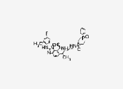 Cc1cc(F)ccc1Nc1nc2ccc3c(C)c(/C=C/CNC(=O)N4CCP(=O)(c5ccccc5)CC4)[nH]c(=O)c3c2n1C